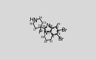 Cc1c(Br)c(Br)c2c3c1nc(C1(F)CCNCC1)n3CCC2